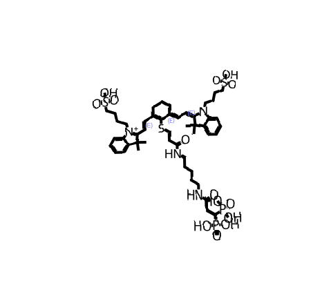 CC1(C)C(/C=C/C2=C(SCCC(=O)NCCCCCNC(=O)CC(P(=O)(O)O)P(=O)(O)O)C(=C/C=C3/N(CCCCS(=O)(=O)O)c4ccccc4C3(C)C)/CCC2)=[N+](CCCCS(=O)(=O)O)c2ccccc21